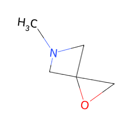 CN1CC2(CO2)C1